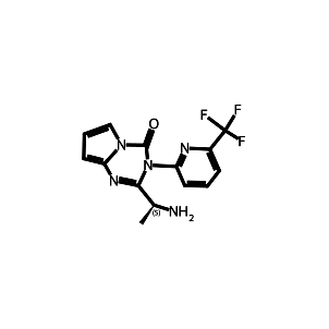 C[C@H](N)c1nc2cccn2c(=O)n1-c1cccc(C(F)(F)F)n1